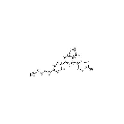 CCN1CCN(c2nc(-c3ccc(OCCCO)cc3)cc3ccsc23)CC1